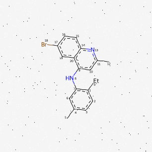 CCc1ccc(C)cc1Nc1cc(C)nc2ccc(Br)cc12